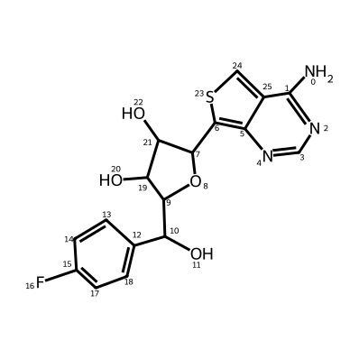 Nc1ncnc2c(C3OC(C(O)c4ccc(F)cc4)C(O)C3O)scc12